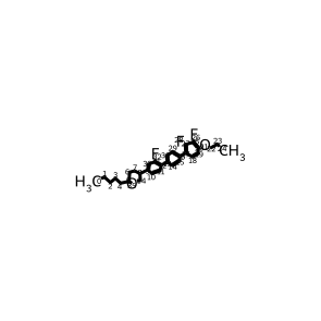 CCCCCC1CCC(c2ccc(-c3ccc(-c4ccc(OCCC)c(F)c4F)cc3)c(F)c2)CO1